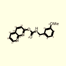 COc1cccc(CNC(=O)Oc2ccc3cccnc3n2)c1